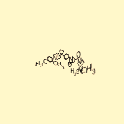 Cc1ccc(N2CCN(C(=O)c3ccc(N4CC(C(=O)N5CCC(N(C)C)C5)CC4=O)cc3)CC2)c(C)c1